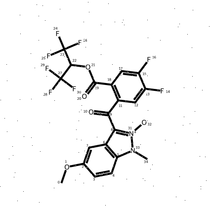 COc1ccc2c(c1)c(C(=O)c1cc(F)c(F)cc1C(=O)OC(C(F)(F)F)C(F)(F)F)[n+]([O-])n2C